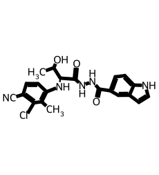 Cc1c(N[C@@H](C(=O)NNC(=O)c2ccc3[nH]ccc3c2)C(C)O)ccc(C#N)c1Cl